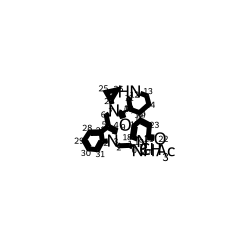 CC(=O)NCCn1cc(CN(C(=O)[C@H]2CNCC[C@@H]2c2ccn(C)c(=O)c2)C2CC2)c2ccccc21